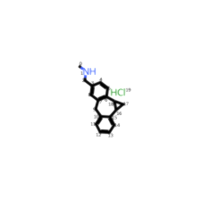 CNCc1ccc2c(c1)Cc1ccccc1C1CC21.Cl